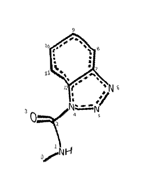 CNC(=O)n1nnc2ccccc21